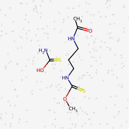 COC(=S)NCCCNC(C)=O.NC(O)=S